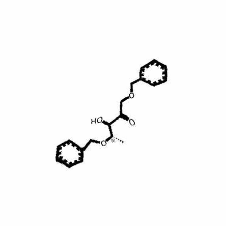 C[C@H](OCc1ccccc1)C(O)C(=O)COCc1ccccc1